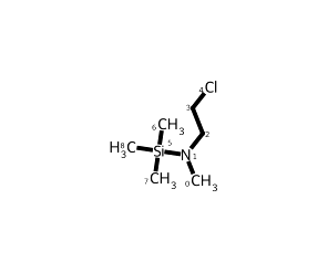 CN(CCCl)[Si](C)(C)C